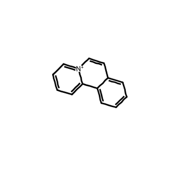 c1ccc2c(c1)cc[n+]1ccccc21